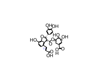 O=C(O)/C=C/c1ccc(O)c2c1[C@@H](C(=O)O[C@@H]1CC(C(=O)O)=C[C@@H](O)[C@H]1O)[C@@H](c1ccc(O)c(O)c1)O2